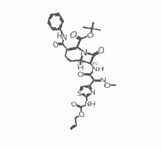 C=CCOC(=O)Nc1nc(C(=NOC)C(=O)N[C@@H]2C(=O)N3C(C(=O)OC(C)(C)C)=C(C(=O)Nc4ccccc4)CC[C@@H]23)cs1